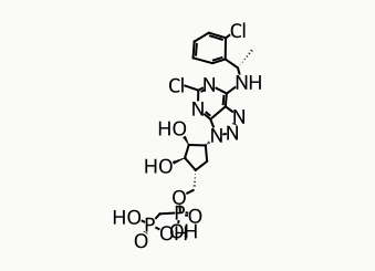 C[C@H](Nc1nc(Cl)nc2c1nnn2[C@@H]1C[C@H](COP(=O)(O)CP(=O)(O)O)[C@@H](O)[C@H]1O)c1ccccc1Cl